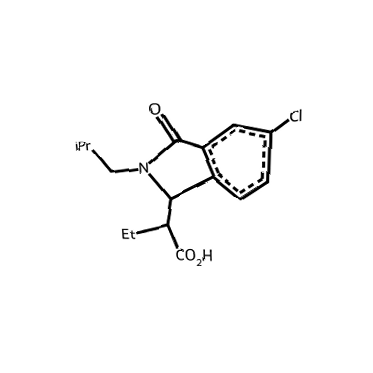 CCC(C(=O)O)C1c2ccc(Cl)cc2C(=O)N1CC(C)C